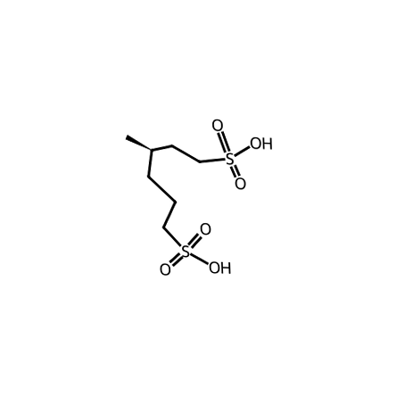 C[C@H](CCCS(=O)(=O)O)CCS(=O)(=O)O